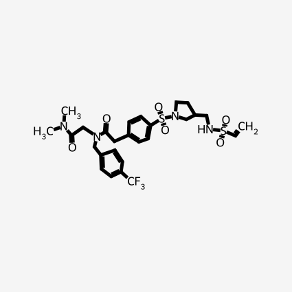 C=CS(=O)(=O)NCC1CCN(S(=O)(=O)c2ccc(CC(=O)N(CC(=O)N(C)C)Cc3ccc(C(F)(F)F)cc3)cc2)C1